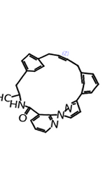 O=CC1Cc2ccc(cc2)C/C=C\Cc2cccc(c2)-c2ccn(n2)-c2ncccc2C(=O)N1